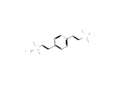 C[Si](C)(Cl)C=Cc1ccc(C=C[Si](C)(C)Cl)cc1